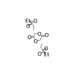 CCS(=O)(=O)CC[C@@H]1OC(=O)[C@H](CCS(=O)(=O)CC)OC1=O